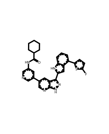 O=C(Nc1cncc(-c2cnc3[nH]nc(-c4cc5c(-c6ccc(F)s6)cccc5[nH]4)c3c2)c1)C1CCCCC1